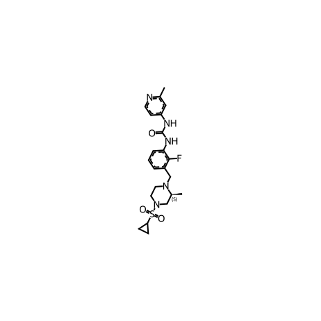 Cc1cc(NC(=O)Nc2cccc(CN3CCN(S(=O)(=O)C4CC4)C[C@@H]3C)c2F)ccn1